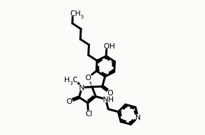 CCCCCCc1c(O)ccc2c1O[C@]1(C2=O)C(NCc2ccncc2)=C(Cl)C(=O)N1C